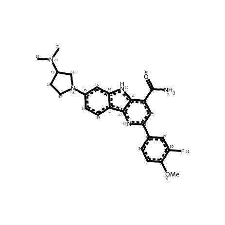 COc1ccc(-c2cc(C(N)=O)c3[nH]c4cc(N5CCC(N(C)C)C5)ccc4c3n2)cc1F